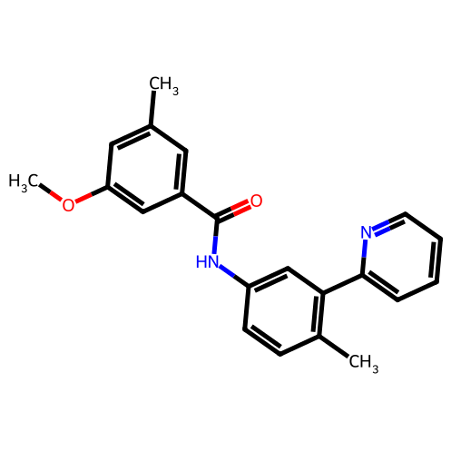 COc1cc(C)cc(C(=O)Nc2ccc(C)c(-c3ccccn3)c2)c1